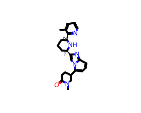 Cc1cccnc1[C@@H]1CCC[C@H](c2cn3c(C4CCC(=O)N(C)C4)cccc3n2)N1